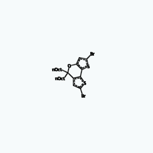 CCCCCCCCC1(CCCCCCCC)Oc2cc(Br)sc2-c2sc(Br)cc21